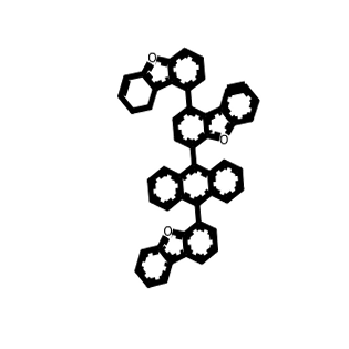 c1ccc2oc3c(-c4c5ccccc5c(-c5cccc6c5oc5ccccc56)c5ccccc45)ccc(-c4cccc5oc6c(c45)CCC=C6)c3c2c#1